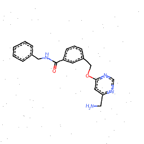 NCc1cc(OCc2cccc(C(=O)NCc3ccccc3)c2)ncn1